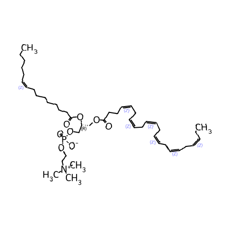 CC/C=C\C/C=C\C/C=C\C/C=C\C/C=C\C/C=C\CCC(=O)OC[C@H](COP(=O)([O-])OCC[N+](C)(C)C)OC(=O)CCCCCCC/C=C\CCCCC